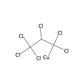 ClC(C(Cl)(Cl)Cl)[C](Cl)(Cl)[Cu]